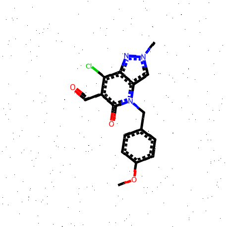 COc1ccc(Cn2c(=O)c(C=O)c(Cl)c3nn(C)cc32)cc1